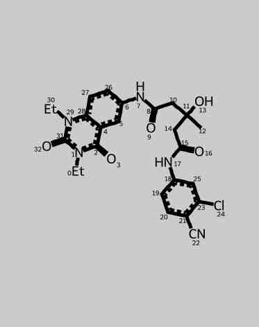 CCn1c(=O)c2cc(NC(=O)CC(C)(O)CC(=O)Nc3ccc(C#N)c(Cl)c3)ccc2n(CC)c1=O